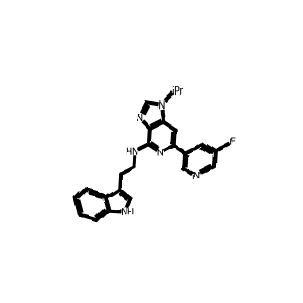 CC(C)n1cnc2c(NCCc3c[nH]c4ccccc34)nc(-c3cncc(F)c3)cc21